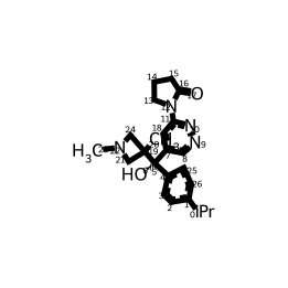 CC(C)c1ccc([C@](O)(c2cnnc(N3CCCC3=O)c2)C2(C)CN(C)C2)cc1